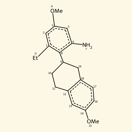 CCc1cc(OC)cc(N)c1C1CCc2cc(OC)ccc2C1